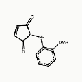 COc1ccccc1NN1C(=O)C=CC1=O